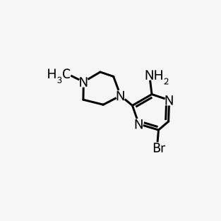 CN1CCN(c2nc(Br)cnc2N)CC1